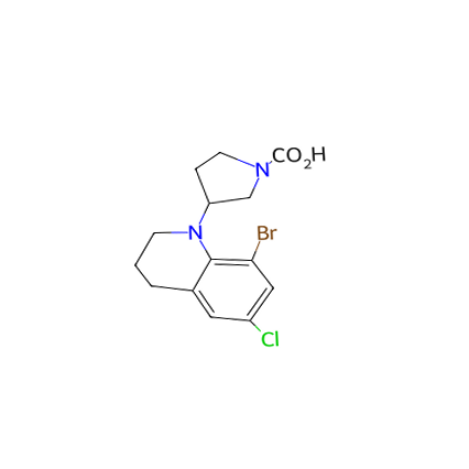 O=C(O)N1CCC(N2CCCc3cc(Cl)cc(Br)c32)C1